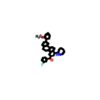 COc1ccccc1-c1ccc2c(c1)-c1ccc3c(c1=CC2)=CC(C(=O)c1cccc(F)c1)CC3C1=CC=CC=CN1